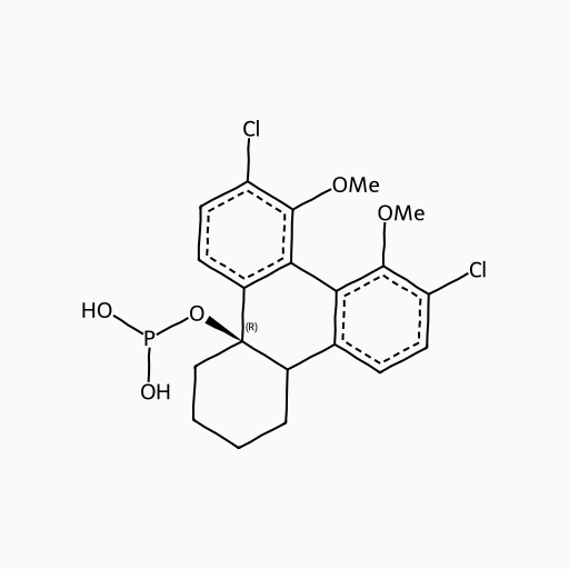 COc1c(Cl)ccc2c1-c1c(ccc(Cl)c1OC)[C@@]1(OP(O)O)CCCCC21